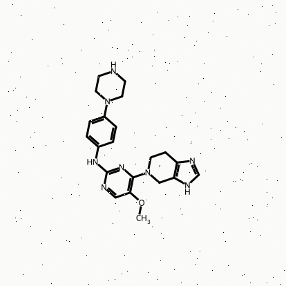 COc1cnc(Nc2ccc(N3CCNCC3)cc2)nc1N1CCc2nc[nH]c2C1